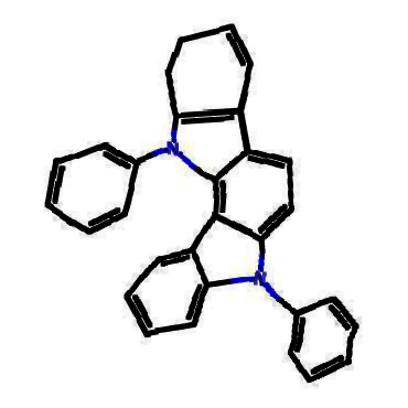 C1=Cc2c(n(-c3ccccc3)c3c2ccc2c3c3ccccc3n2-c2ccccc2)CC1